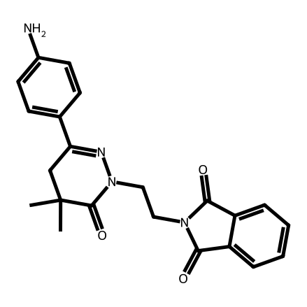 CC1(C)CC(c2ccc(N)cc2)=NN(CCN2C(=O)c3ccccc3C2=O)C1=O